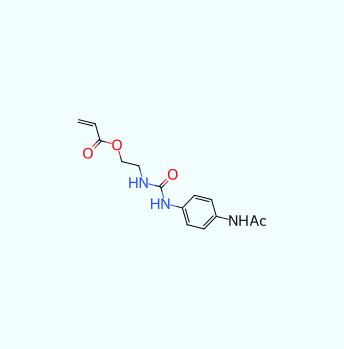 C=CC(=O)OCCNC(=O)Nc1ccc(NC(C)=O)cc1